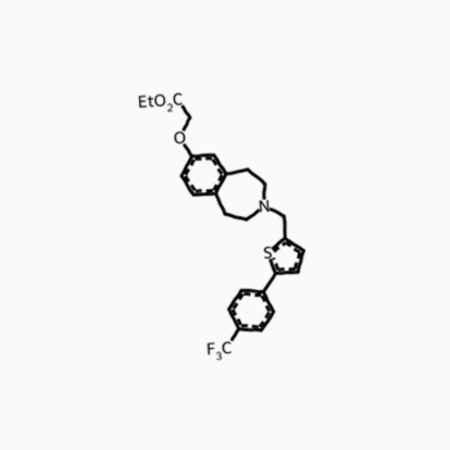 CCOC(=O)COc1ccc2c(c1)CCN(Cc1ccc(-c3ccc(C(F)(F)F)cc3)s1)CC2